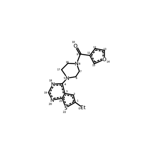 CCc1cc2c(N3CCN(C(=O)c4ccoc4)CC3)ncnc2s1